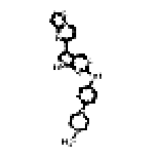 CN1CCN(c2ccc(Nc3ncc4c(-c5ccn6nccc6n5)c[nH]c4n3)cn2)CC1